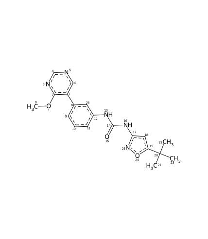 COc1ncncc1-c1cccc(NC(=O)Nc2cc(C(C)(C)C)on2)c1